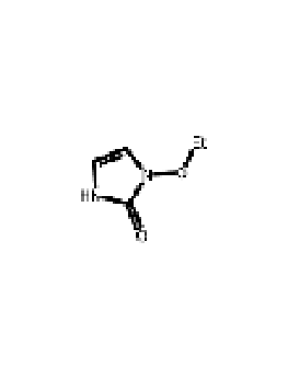 CCOn1cc[nH]c1=O